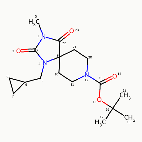 CN1C(=O)N(CC2CC2)C2(CCN(C(=O)OC(C)(C)C)CC2)C1=O